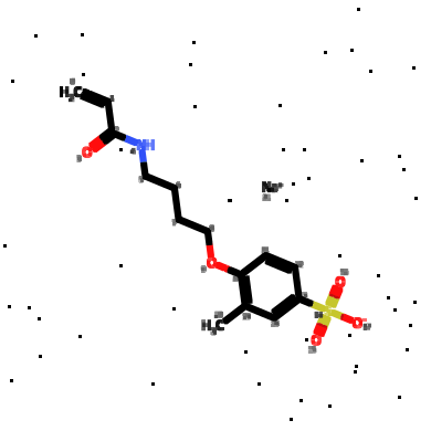 C=CC(=O)NCCCCOc1ccc(S(=O)(=O)[O-])cc1C.[Na+]